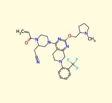 C=CC(=O)N1CCN(c2nc(OCC3CCCN3C)nc3c2CCN(c2ccccc2C(F)(F)F)C3)CC1CC#N